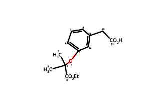 CCOC(=O)C(C)(C)Oc1cccc(CC(=O)O)c1